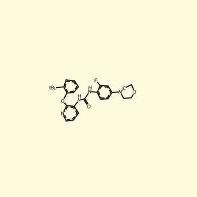 CC(C)(C)c1ccccc1Oc1ncccc1NC(=O)Nc1ccc(N2CCOCC2)cc1F